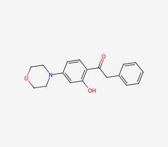 O=C(Cc1ccccc1)c1ccc(N2CCOCC2)cc1O